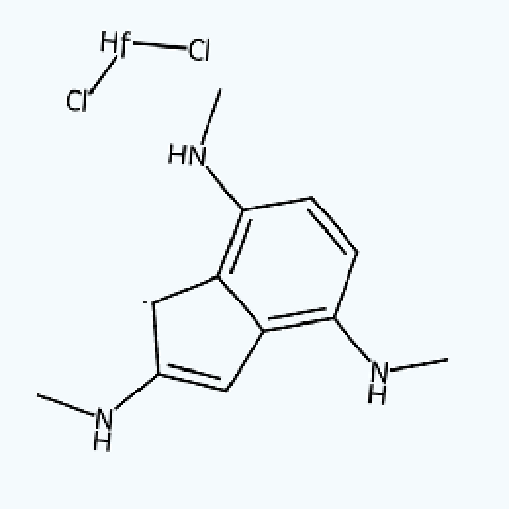 CNC1=Cc2c(NC)ccc(NC)c2[CH]1.[Cl][Hf][Cl]